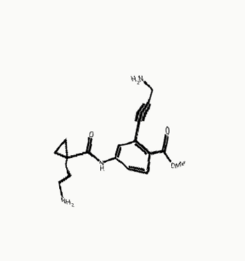 COC(=O)c1ccc(NC(=O)C2(CCN)CC2)cc1C#CCN